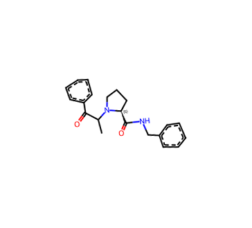 CC(C(=O)c1ccccc1)N1CCC[C@H]1C(=O)NCc1ccccc1